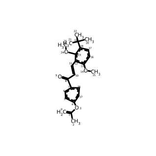 C=C(C)Oc1ccc(C(=O)/C=C/c2c(OC)ccc(C(C)(C)C)c2OC)cc1